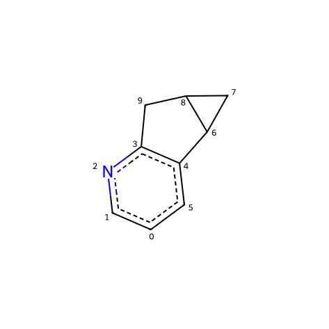 c1cnc2c(c1)C1CC1C2